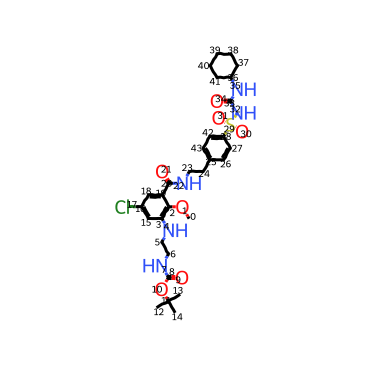 COc1c(NCCNC(=O)OC(C)(C)C)cc(Cl)cc1C(=O)NCCc1ccc(S(=O)(=O)NC(=O)NC2CCCCC2)cc1